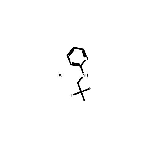 CC(F)(F)CNc1ccccn1.Cl